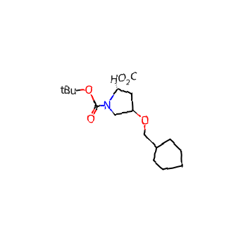 CC(C)(C)OC(=O)N1CC(OCC2CCCCC2)C[C@H]1C(=O)O